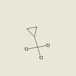 ClC(Cl)(Cl)C1CC1